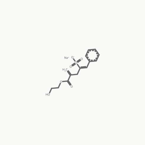 C=C(CC(=Cc1ccccc1)S(=O)(=O)[O-])C(=O)OCCO.[Na+]